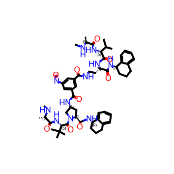 CN[C@@H](C)C(=O)N[C@H](C(=O)N[C@@H](CCNC(=O)c1cc(N=O)cc(C(=O)N[C@H]2C[C@@H](C(=O)N[C@@H]3CCCc4ccccc43)N(C(=O)[C@@H](NC(=O)[C@H](C)NC)C(C)(C)C)C2)c1)C(=O)N[C@@H]1CCCc2ccccc21)C(C)C